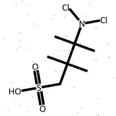 CC(C)(CS(=O)(=O)O)C(C)(C)N(Cl)Cl